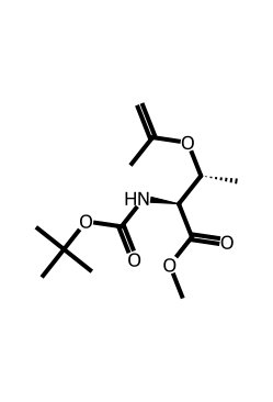 C=C(C)O[C@H](C)[C@H](NC(=O)OC(C)(C)C)C(=O)OC